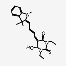 CCN1C(=O)\C(=C/C=C/C=C2/N(C)c3ccccc3C2(C)C)C(O)N(CC)C1=S